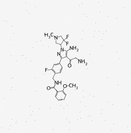 COc1ccccc1C(=O)NCc1ccc(-c2nn(C3CN(C)CC3(F)F)c(N)c2C(=O)CN)cc1F